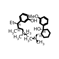 CC[C@@H](c1cccc(O)c1)[C@@H](C)CN(C)C.COc1cccc([C@@]2(O)CCCC[C@@H]2CN(C)C)c1